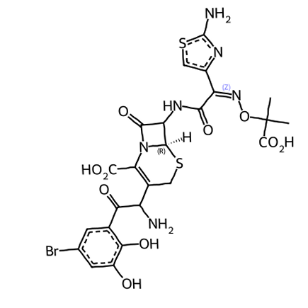 CC(C)(O/N=C(\C(=O)NC1C(=O)N2C(C(=O)O)=C(C(N)C(=O)c3cc(Br)cc(O)c3O)CS[C@H]12)c1csc(N)n1)C(=O)O